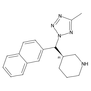 Cc1nnn(C(c2ccc3ccccc3c2)[C@@H]2CCCNC2)n1